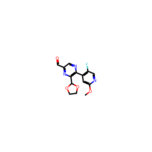 COc1cc(-c2ncc(C=O)nc2C2OCCO2)c(F)cn1